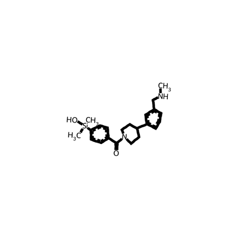 CNCc1cccc(C2CCN(C(=O)c3ccc([Si](C)(C)O)cc3)CC2)c1